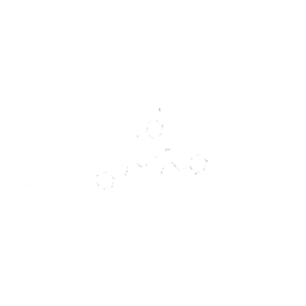 Nc1ccc(C(CC(=O)/C=C/c2ccc(OCC3CCC(OCC(F)(F)F)CC3)cc2)C(O)(O)C(=O)/C=C/c2ccc(OCC3CCC(OCC(F)(F)F)CC3)cc2)c(N)c1